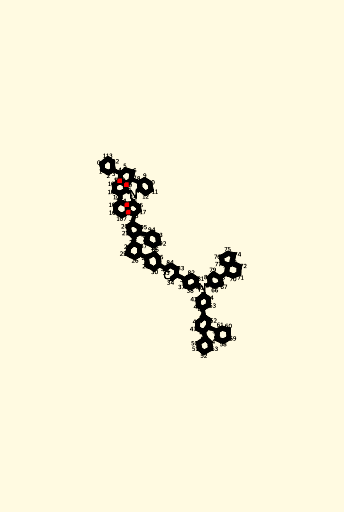 c1ccc(-c2ccc(-c3ccccc3N(c3ccc(-c4ccc(-c5cccc(-c6ccc(-c7ccc(-c8ccc(N(c9ccc(-c%10ccc(-c%11ccccc%11)c(-c%11ccccc%11)c%10)cc9)c9ccc(-c%10cccc%11ccccc%10%11)cc9)cc8)cc7)cc6)c5)c(-c5ccccc5)c4)cc3)c3ccccc3-c3ccccc3)cc2)cc1